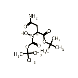 CC(C)(C)OC(=O)[C@H](CC(N)=O)N(O)C(=O)OC(C)(C)C